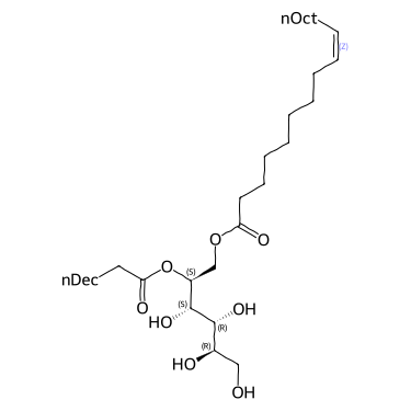 CCCCCCCC/C=C\CCCCCCCC(=O)OC[C@H](OC(=O)CCCCCCCCCCC)[C@@H](O)[C@H](O)[C@H](O)CO